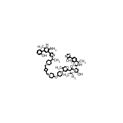 C=C1COC([C@H](C(=O)N2C[C@H](O)C[C@H]2C(=O)N[C@@H](C)c2ccc(-c3scnc3C)cc2)C(C)C)=CC1N1CCC(OC2CCN(CC3CC(CN4CCC([C@H](C)n5cc(C6=C(N)NC(C)C(c7ccccc7O)=C6)cn5)CC4)C3)CC2)CC1